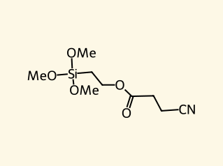 CO[Si](CCOC(=O)CCC#N)(OC)OC